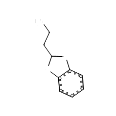 NCCC1Oc2ccccc2O1